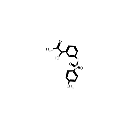 CC(=O)C(O)c1cccc(OS(=O)(=O)c2ccc(C)cc2)c1